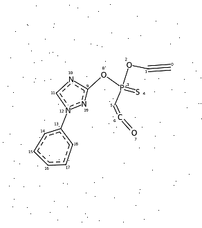 C#COP(=S)(C=C=O)Oc1ncn(-c2ccccc2)n1